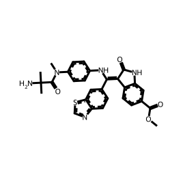 COC(=O)c1ccc2c(c1)NC(=O)/C2=C(\Nc1ccc(N(C)C(=O)C(C)(C)N)cc1)c1ccc2ncsc2c1